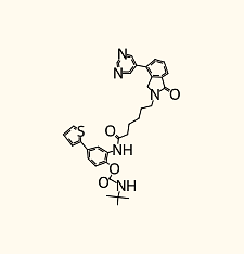 CC(C)(C)NC(=O)Oc1ccc(-c2cccs2)cc1NC(=O)CCCCCN1Cc2c(cccc2-c2cncnc2)C1=O